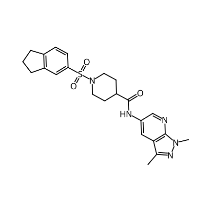 Cc1nn(C)c2ncc(NC(=O)C3CCN(S(=O)(=O)c4ccc5c(c4)CCC5)CC3)cc12